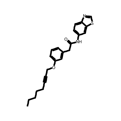 CCCCCC#CCOc1cccc(CC(=O)Nc2ccc3ncsc3c2)c1